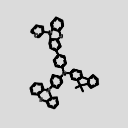 CC1(C)c2ccccc2-c2ccc(N(c3ccc(-c4ccc5c(c4)Oc4ccccc4N5c4ccccc4)cc3)c3ccc(N4c5ccccc5Sc5ccccc54)cc3)cc21